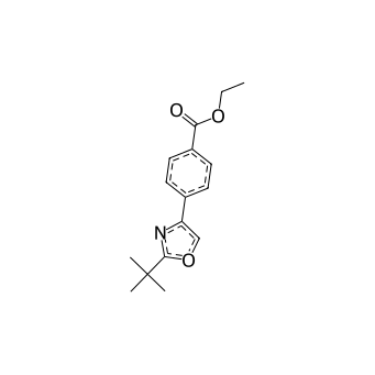 CCOC(=O)c1ccc(-c2coc(C(C)(C)C)n2)cc1